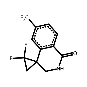 O=C1NCC2(CC2(F)F)c2cc(C(F)(F)F)ccc21